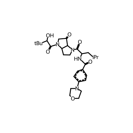 CC(C)CC(NC(=O)c1ccc(N2CCOCC2)cc1)C(=O)N1CCC2C1C(=O)CN2C(=O)C(O)C(C)(C)C